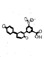 O=C1C=CC(=C2C=CC(=O)C(c3cc(C(=O)O)cc([N+](=O)[O-])c3)=C2)C=C1